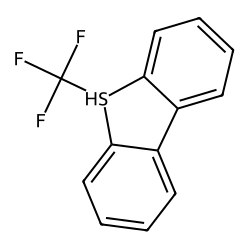 FC(F)(F)[SH]1c2ccccc2-c2ccccc21